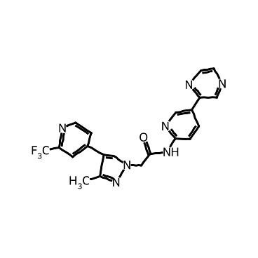 Cc1nn(CC(=O)Nc2ccc(-c3cnccn3)cn2)cc1-c1ccnc(C(F)(F)F)c1